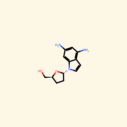 Nc1cc(N)c2ccn([C@@H]3CC[C@@H](CO)O3)c2c1